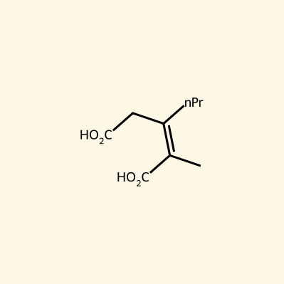 CCCC(CC(=O)O)=C(C)C(=O)O